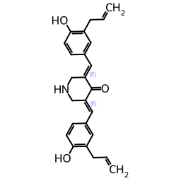 C=CCc1cc(/C=C2\CNC/C(=C\c3ccc(O)c(CC=C)c3)C2=O)ccc1O